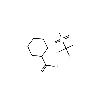 O=C(S)C1CCCCC1.O=S(=O)(O)C(F)(F)F